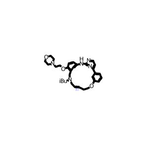 CCC(C)N1C/C=C/CCOc2cccc(c2)-c2ccnc(n2)Nc2ccc(OCCN3CCOCC3)c(c2)C1